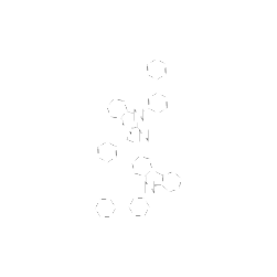 c1ccc(-c2cccc(-n3c4ccccc4c4cc(-c5nc6n(-c7cccc(-c8ccccc8)c7)c7ccccc7n6c5-c5ccccc5)ccc43)c2)cc1